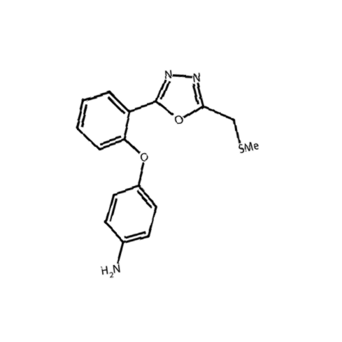 CSCc1nnc(-c2ccccc2Oc2ccc(N)cc2)o1